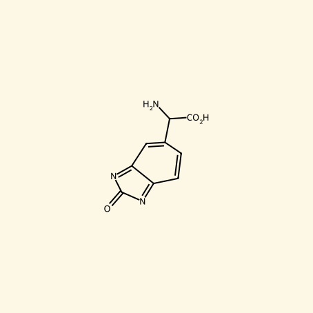 NC(C(=O)O)c1ccc2c(c1)=NC(=O)N=2